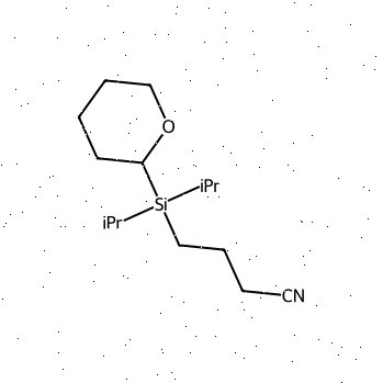 CC(C)[Si](CCCC#N)(C(C)C)C1CCCCO1